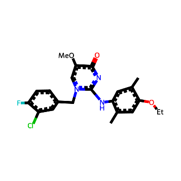 CCOc1cc(C)c(Nc2nc(=O)c(OC)cn2Cc2ccc(F)c(Cl)c2)cc1C